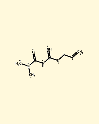 C=CCSC(=N)NC(=O)N(C)C